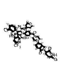 CC(C)(C)C[C@@H]1N(c2ccc(C(=O)N3CCN(c4ccc5c(c4)CN(C4CCC(=O)NC4=O)C5=O)CC3)cc2OC2CCOCC2)[C@@H](C(N)=O)[C@H](c2cccc(Cl)c2F)[C@]12CNc1cc(C(F)(F)F)ncc12